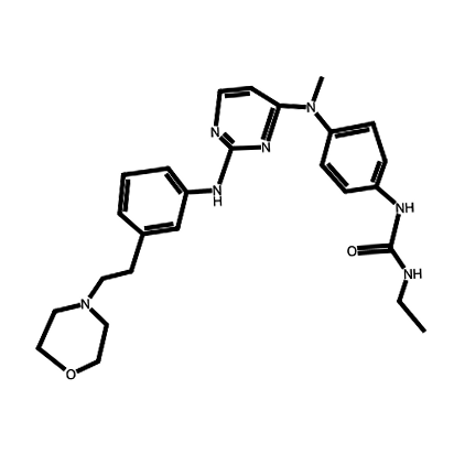 CCNC(=O)Nc1ccc(N(C)c2ccnc(Nc3cccc(CCN4CCOCC4)c3)n2)cc1